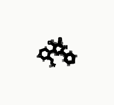 CC(C)CC1COCCN1c1nc(-c2ccncc2)[nH]c(=O)c1Cl